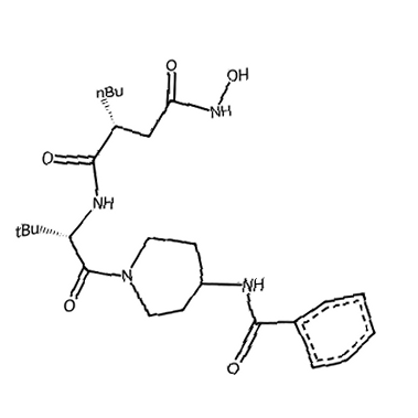 CCCC[C@H](CC(=O)NO)C(=O)N[C@H](C(=O)N1CCC(NC(=O)c2ccccc2)CC1)C(C)(C)C